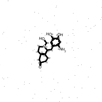 Nc1cc(O)c(O)cc1CC1C2=C(CCN1CO)CC(=O)CC2